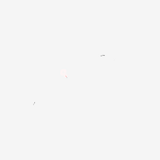 C=CCCCCCC(=O)CCCCCC=C